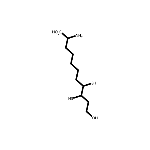 NC(CCCCCC(S)C(S)CCO)C(=O)O